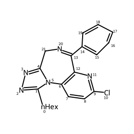 CCCCCCc1nnc2n1-c1ccc(Cl)nc1C(c1ccccc1)=NC2